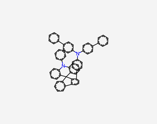 c1ccc(-c2ccc(N(c3ccc(-c4ccccc4)cc3)c3ccc(-c4cccc5c4C4(c6ccccc6-5)c5ccccc5N(c5ccccc5)c5ccccc54)cc3)cc2)cc1